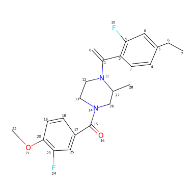 C=C(c1ccc(CC)cc1F)N1CCN(C(=O)c2ccc(OC)c(F)c2)CC1C